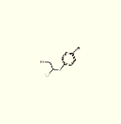 CC(C)CC(C)Cc1ccc(C(C)C)cc1